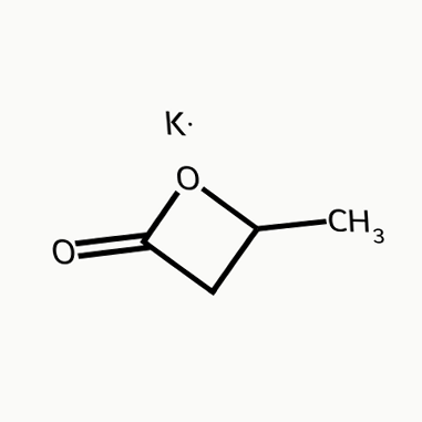 CC1CC(=O)O1.[K]